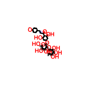 COc1ccc(/C=C/C(=O)c2c(O)cc(O[C@@H]3O[C@@H](CO)[C@@H](O)[C@@H](O)[C@H]3O[C@@H]3O[C@H](C)[C@H](O)[C@H](O)[C@H]3O)cc2O)cc1